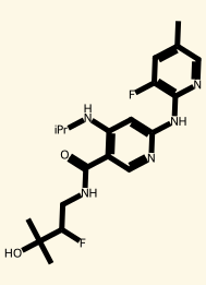 Cc1cnc(Nc2cc(NC(C)C)c(C(=O)NCC(F)C(C)(C)O)cn2)c(F)c1